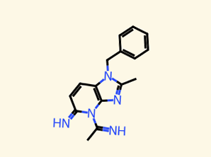 CC(=N)n1c(=N)ccc2c1nc(C)n2Cc1ccccc1